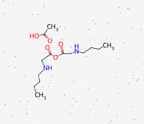 CC(=O)O.CCCCNCC(=O)OC(=O)CNCCCC